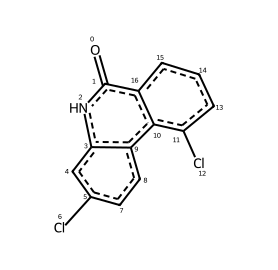 O=c1[nH]c2cc(Cl)ccc2c2c(Cl)cccc12